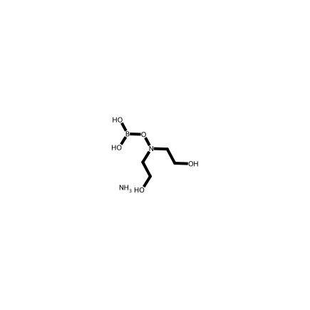 N.OCCN(CCO)OB(O)O